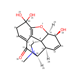 CN1CC[C@]23C4=C5O[C@H]2[C@@H](O)C=C[C@H]3[C@H]1C(=O)C4=CCC5(O)O